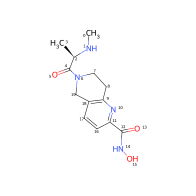 CN[C@H](C)C(=O)N1CCc2nc(C(=O)NO)ccc2C1